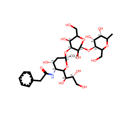 CC1OC(CO)[C@@H](O[C@@H]2OC(CO)[C@H](O)[C@H](O[C@]3(C(=O)O)C[C@@H](O)[C@@H](NC(=O)Cc4ccccc4)C([C@H](O)[C@H](O)CO)O3)C2O)[C@H](O)[C@@H]1O